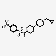 O=[N+]([O-])c1ccc(S(=O)(=O)NC2CCC(N3CCN(CC4CC4)CC3)CC2)cc1